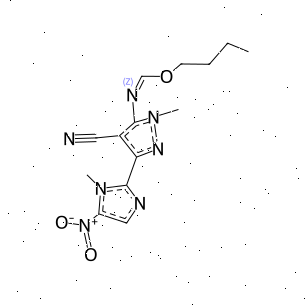 CCCCO/C=N\c1c(C#N)c(-c2ncc([N+](=O)[O-])n2C)nn1C